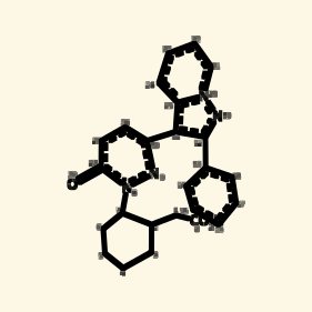 O=C(O)CC1CCCCC1n1nc(-c2c(-c3ccccc3)nn3ccccc23)ccc1=O